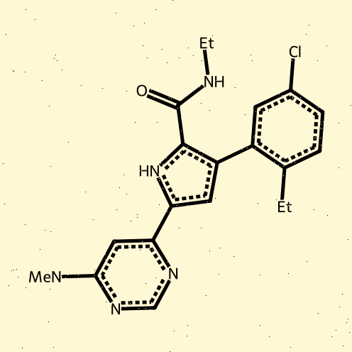 CCNC(=O)c1[nH]c(-c2cc(NC)ncn2)cc1-c1cc(Cl)ccc1CC